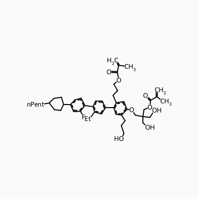 C=C(C)C(=O)OCCCc1cc(OCC(CO)(CO)COC(=O)C(=C)C)c(CCCO)cc1-c1ccc(-c2ccc(C3CCC(CCCCC)CC3)cc2F)c(CC)c1